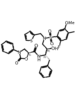 COc1cc(S(=O)(=O)N(Cc2cccs2)C[C@@H](O)[C@H](Cc2ccccc2)NC(=O)[C@@H]2CN(c3ccccc3)C(=O)O2)c(F)cc1C